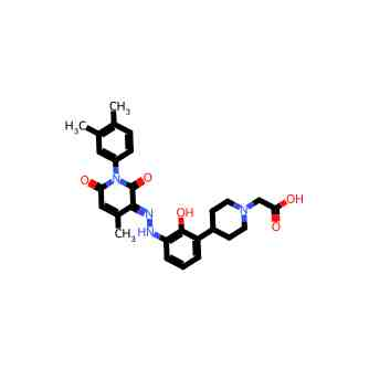 CC1=CC(=O)N(c2ccc(C)c(C)c2)C(=O)/C1=N/Nc1cccc(C2CCN(CC(=O)O)CC2)c1O